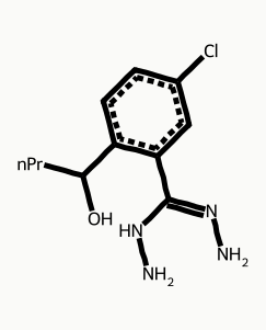 CCCC(O)c1ccc(Cl)cc1/C(=N/N)NN